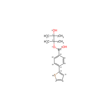 CC(C)(O)C(C)(C)OB(O)c1ccc(-c2cccs2)cc1